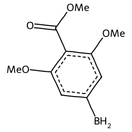 Bc1cc(OC)c(C(=O)OC)c(OC)c1